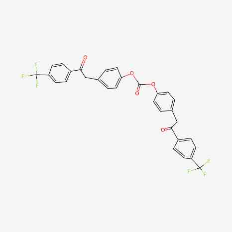 O=C(Oc1ccc(CC(=O)c2ccc(C(F)(F)F)cc2)cc1)Oc1ccc(CC(=O)c2ccc(C(F)(F)F)cc2)cc1